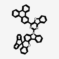 c1ccc2c(c1)Oc1c(ccc3c1c1ccccc1n3-c1nc(-c3ccc4c5ccccc5c5ccccc5c4c3)c3oc4ccccc4c3n1)C21c2ccccc2-c2ccccc21